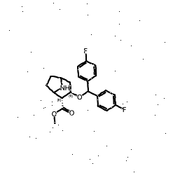 COC(=O)[C@@H]1C2CCC(C[C@H]1OC(c1ccc(F)cc1)c1ccc(F)cc1)N2